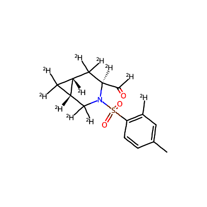 [2H]C(=O)[C@@]1([2H])N(S(=O)(=O)c2ccc(C)cc2[2H])C([2H])([2H])[C@]2([2H])C([2H])([2H])[C@]2([2H])C1([2H])[2H]